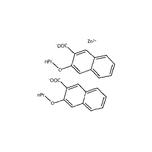 CCCOc1cc2ccccc2cc1C(=O)[O-].CCCOc1cc2ccccc2cc1C(=O)[O-].[Zn+2]